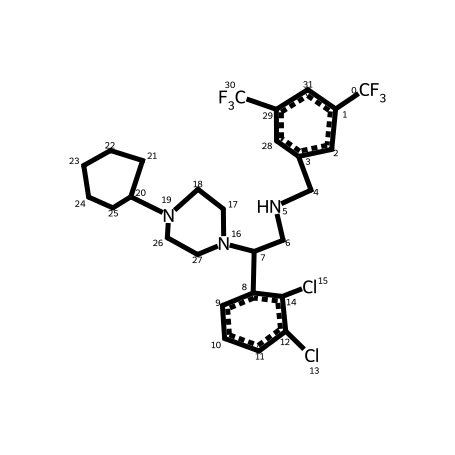 FC(F)(F)c1cc(CNCC(c2cccc(Cl)c2Cl)N2CCN(C3CCCCC3)CC2)cc(C(F)(F)F)c1